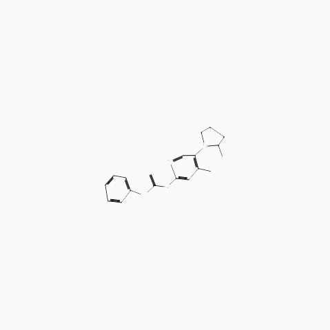 Cc1cc(NC(=O)Oc2ccccc2)ncc1N1CCCC1C